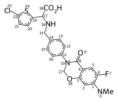 CNc1cc2c(cc1F)C(=O)N(c1ccc(CNC(C(=O)O)c3ccc(Cl)s3)cc1)CO2